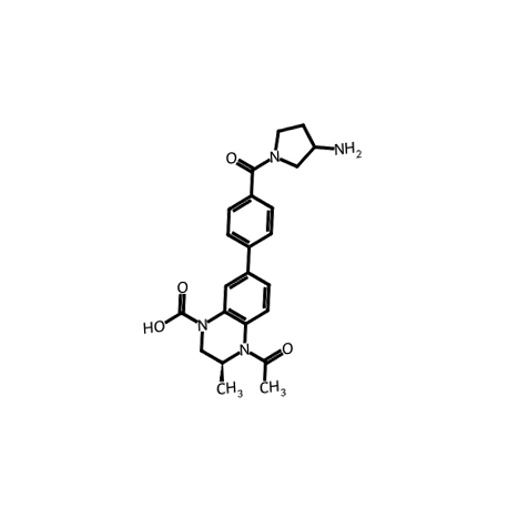 CC(=O)N1c2ccc(-c3ccc(C(=O)N4CCC(N)C4)cc3)cc2N(C(=O)O)C[C@@H]1C